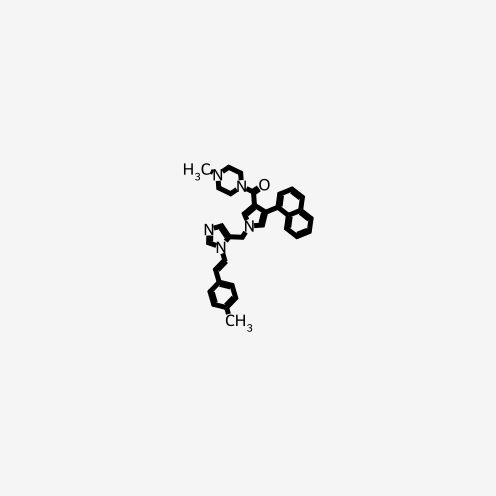 Cc1ccc(C=Cn2cncc2Cn2cc(C(=O)N3CCN(C)CC3)c(-c3cccc4ccccc34)c2)cc1